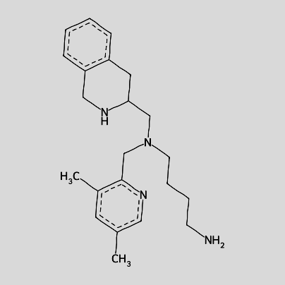 Cc1cnc(CN(CCCCN)CC2Cc3ccccc3CN2)c(C)c1